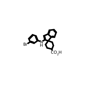 O=C(O)C1CCC2(CC1)C(Nc1cccc(Br)c1)=Cc1ccccc12